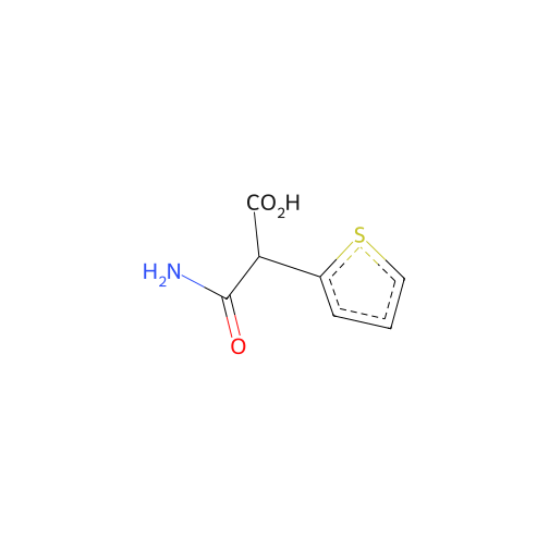 NC(=O)C(C(=O)O)c1cccs1